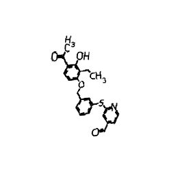 CCc1c(OCc2cccc(Sc3cc(C=O)ccn3)c2)ccc(C(C)=O)c1O